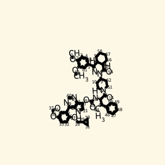 COc1ccc(C2=NN(C3CCN(C(=O)[C@H](NC(=O)Oc4c[nH]c5c(-c6c(OCC7CC7)ccc7c6OCO7)ncnc45)[C@H](C)c4ccccc4)CC3)C(=O)[C@@H]3CCCC[C@H]23)cc1OC